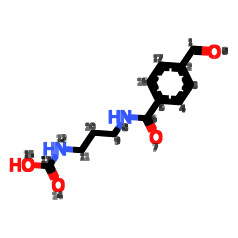 O=Cc1ccc(C(=O)NCCCNC(=O)O)cc1